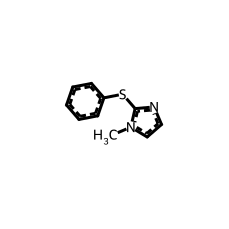 Cn1ccnc1Sc1ccccc1